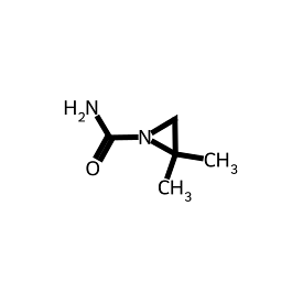 CC1(C)CN1C(N)=O